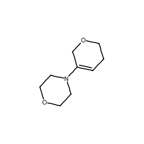 C1=C(N2CCOCC2)COCC1